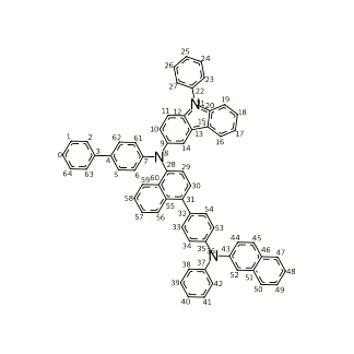 c1ccc(-c2ccc(N(c3ccc4c(c3)c3ccccc3n4-c3ccccc3)c3ccc(-c4ccc(N(c5ccccc5)c5ccc6ccccc6c5)cc4)c4ccccc34)cc2)cc1